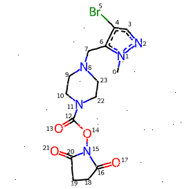 Cn1ncc(Br)c1CN1CCN(C(=O)ON2C(=O)CCC2=O)CC1